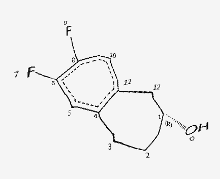 O[C@@H]1CCc2cc(F)c(F)cc2C1